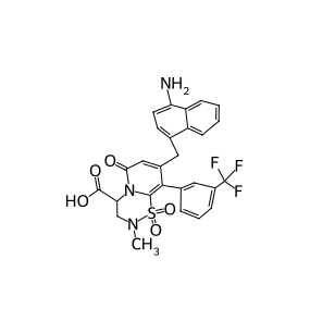 CN1CC(C(=O)O)n2c(c(-c3cccc(C(F)(F)F)c3)c(Cc3ccc(N)c4ccccc34)cc2=O)S1(=O)=O